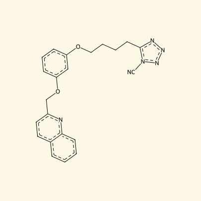 N#Cn1nnnc1CCCCOc1cccc(OCc2ccc3ccccc3n2)c1